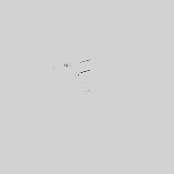 O.O=S(=O)(O)O.O=[N+]([O-])O.[K+].[Mg+2].[Na+]